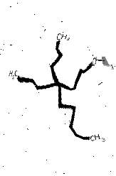 CCCCC(CC)(CCC)CCC